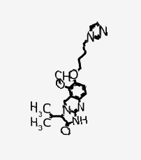 COc1c(OCCCCn2ccnc2)ccc2c1CN1C(=N2)NC(=O)C1C(C)C